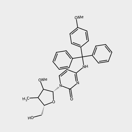 COc1ccc(C(Nc2ccn([C@@H]3O[C@H](CO)C(C)C3OC)c(=O)n2)(c2ccccc2)c2ccccc2)cc1